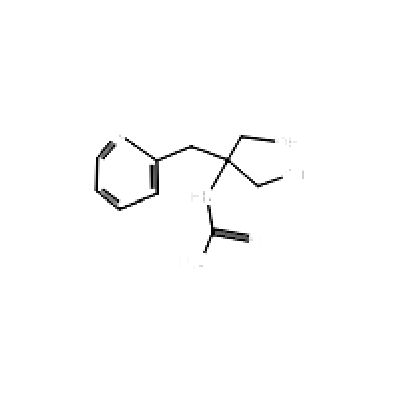 CC(=O)NC(CO)(CO)Cc1ccccn1